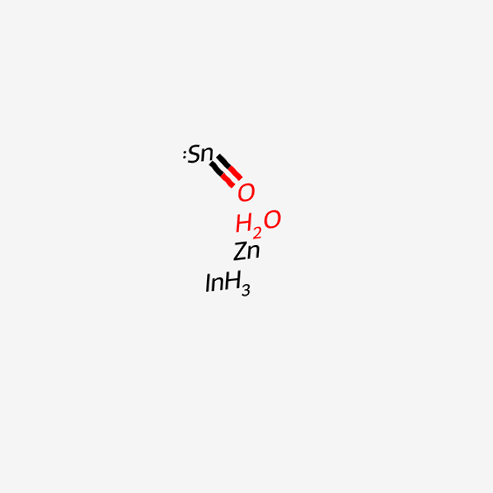 O.[InH3].[O]=[Sn].[Zn]